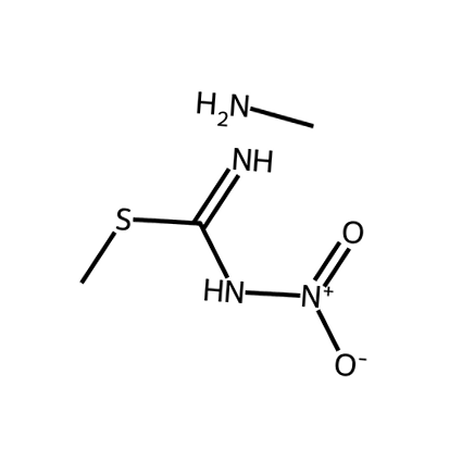 CN.CSC(=N)N[N+](=O)[O-]